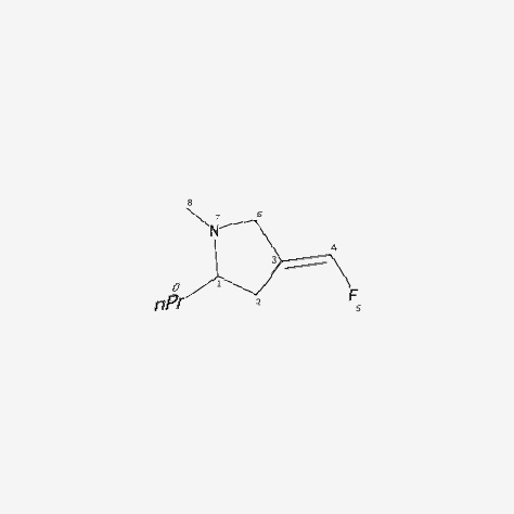 CCCC1C/C(=C\F)CN1C